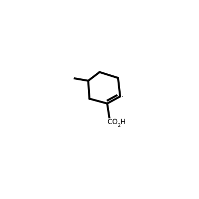 CC1CC[C]=C(C(=O)O)C1